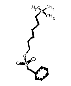 C[Si](C)(C)CCCCCCOS(=O)(=O)Cc1ccccc1